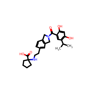 CC(C)c1cc(C(=O)N2Cc3ccc(CCNC4(C(=O)O)CCCC4)cc3C2)c(O)cc1O